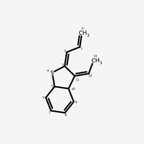 C=C/C=C1/SC2C=CC=CC2/C1=C/C